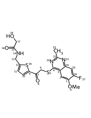 COc1cc2c(SCC(=O)c3ccc(CNC(=O)CO)s3)nc(C)nc2cc1F